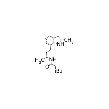 CCC(C)CC(=O)NC(C)CCc1cccc2c1NC(C)C2